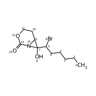 CCCCCC(Br)C1(O)C2CCOC(=O)N21